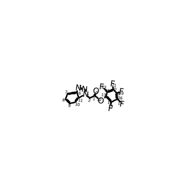 O=C(Cn1nnc2ccccc21)Oc1c(F)c(F)c(F)c(F)c1F